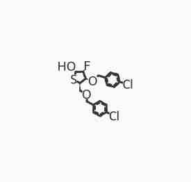 OC1S[C@H](COCc2ccc(Cl)cc2)[C@@H](OCc2ccc(Cl)cc2)[C@H]1F